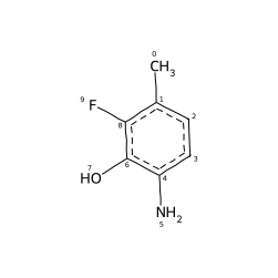 Cc1ccc(N)c(O)c1F